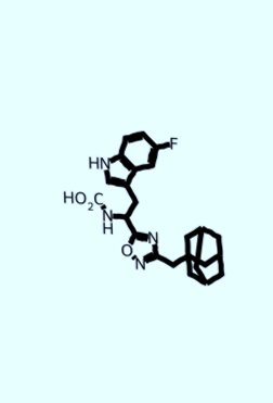 O=C(O)NC(Cc1c[nH]c2ccc(F)cc12)c1nc(CC23CC4CC(CC(C4)C2)C3)no1